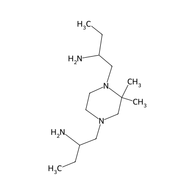 CCC(N)CN1CCN(CC(N)CC)C(C)(C)C1